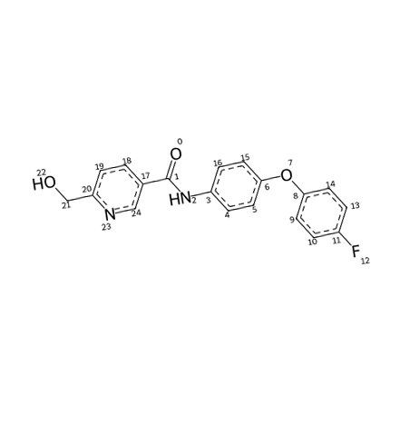 O=C(Nc1ccc(Oc2ccc(F)cc2)cc1)c1ccc(CO)nc1